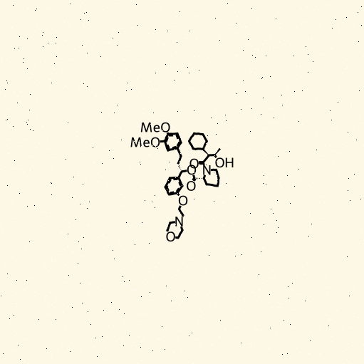 COc1ccc(CC[C@H](OC(=O)[C@H]2CCCCN2C(=O)[C@@H](C2CCCCC2)[C@@H](C)O)c2cccc(OCCN3CCOCC3)c2)cc1OC